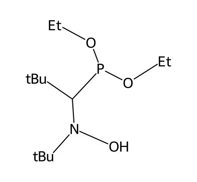 CCOP(OCC)C(N(O)C(C)(C)C)C(C)(C)C